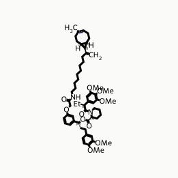 C=C(CCCCCCCCCNC(=O)COc1cccc([C@@H](CCc2ccc(OC)c(OC)c2)OC(=O)[C@@H]2CCCCN2C(=O)[C@@H](CC)c2cc(OC)c(OC)c(OC)c2)c1)[C@@H]1[C@@H]2CC/C=C(/C)CC[C@@H]21